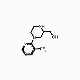 OCC1CN(c2ncccc2C(F)(F)F)CCN1